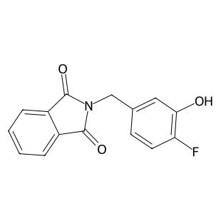 O=C1c2ccccc2C(=O)N1Cc1ccc(F)c(O)c1